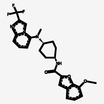 COc1cccc2cc(C(=O)N[C@H]3CC[C@@H](N(C)c4cccc5nc(C(F)(F)F)cn45)CC3)oc12